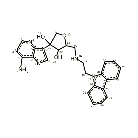 Nc1ncnc2c1ncn2C1(O)COC(CNCCn2c3ccccc3c3ccccc32)C1O